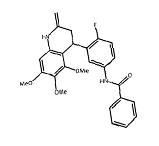 C=C1CC(c2cc(NC(=O)c3ccccc3)ccc2F)c2c(cc(OC)c(OC)c2OC)N1